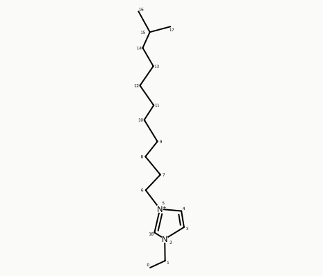 CCn1cc[n+](CCCCCCCCCC(C)C)c1